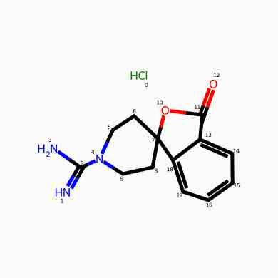 Cl.N=C(N)N1CCC2(CC1)OC(=O)c1ccccc12